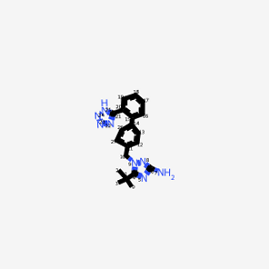 CC(C)(C)c1nc(N)nn1Cc1ccc(-c2ccccc2-c2nnn[nH]2)cc1